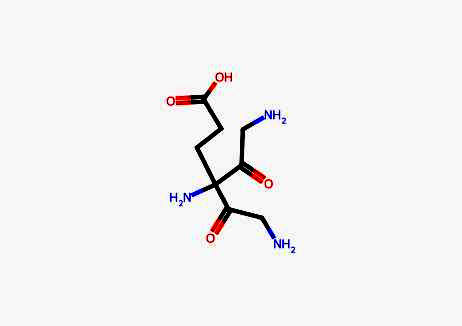 NCC(=O)C(N)(CCC(=O)O)C(=O)CN